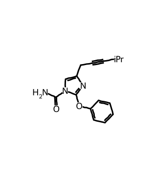 CC(C)C#CCc1cn(C(N)=O)c(Oc2ccccc2)n1